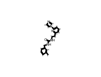 Cc1cccc(CNC(=O)NCCc2cccc(-n3ccnc3)n2)c1